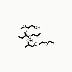 CC(O)CO.CCCOC(=O)CC.CCOCC.COCCO